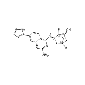 Nc1nc(N[C@@H]2C[C@H]3C[C@@H]2[C@@H](O)C3)c2ccc(-c3ccn[nH]3)cc2n1